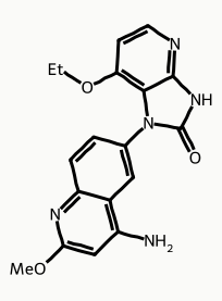 CCOc1ccnc2[nH]c(=O)n(-c3ccc4nc(OC)cc(N)c4c3)c12